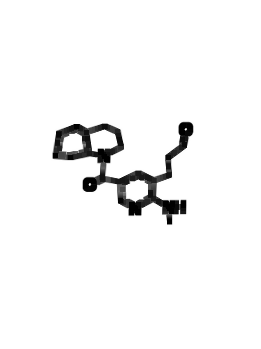 CNc1ncc(C(=O)N2CCCc3ccccc32)cc1CCC=O